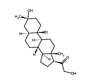 CC[C@]12CC[C@@](C)(O)C[C@@H]1CC[C@H]1[C@@H]3CC[C@H](C(=O)CO)[C@@]3(C)CC[C@@H]12